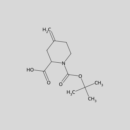 C=C1CCN(C(=O)OC(C)(C)C)C(C(=O)O)C1